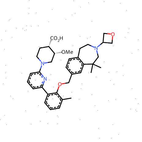 CO[C@@H]1CN(c2cccc(-c3cccc(C)c3OCc3ccc4c(c3)C(C)(C)CN(C3COC3)CC4)n2)CC[C@@H]1C(=O)O